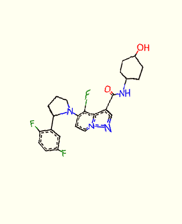 O=C(NC1CCC(O)CC1)c1cnn2ccc(N3CCCC3c3cc(F)ccc3F)c(F)c12